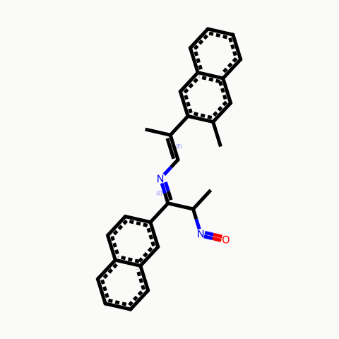 C/C(=C\N=C(\c1ccc2ccccc2c1)C(C)N=O)c1cc2ccccc2cc1C